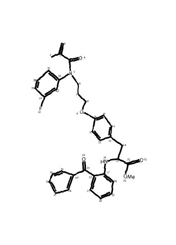 C=C(C)C(=O)N(CCCOc1ccc(CC(Nc2ccccc2C(=O)c2ccccc2)C(=O)OC)cc1)c1cccc(F)c1